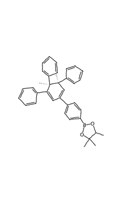 CC1OB(c2ccc(C3=C[C@](C)(c4ccccc4)[C@](C)(c4ccccc4)C(c4ccccc4)=C3)cc2)OC1(C)C